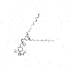 CCCCCCCCCCCCSCC(CSCCCCCCCCCCCC)OC(=O)Cc1cc(C(C)(C)C)c(O)c(C(C)(C)C)c1